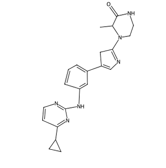 CC1C(=O)NCCN1C1=NC=C(c2cccc(Nc3nccc(C4CC4)n3)c2)C1